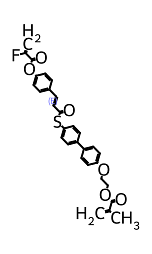 C=C(C)C(=O)OCCOc1ccc(-c2ccc(SC(=O)/C=C/c3ccc(OC(=O)C(=C)F)cc3)cc2)cc1